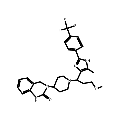 COCCC(c1nc(-c2ccc(C(F)(F)F)cc2)[nH]c1C)N1CCC(N2Cc3ccccc3NC2=O)CC1